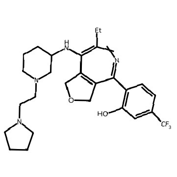 CC/C(C)=C(\NC1CCCN(CCN2CCCC2)C1)C1=C(/C(=N\C)c2ccc(C(F)(F)F)cc2O)COC1